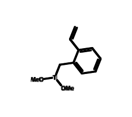 C=Cc1ccccc1[CH2][Ti]([O]C)[O]C